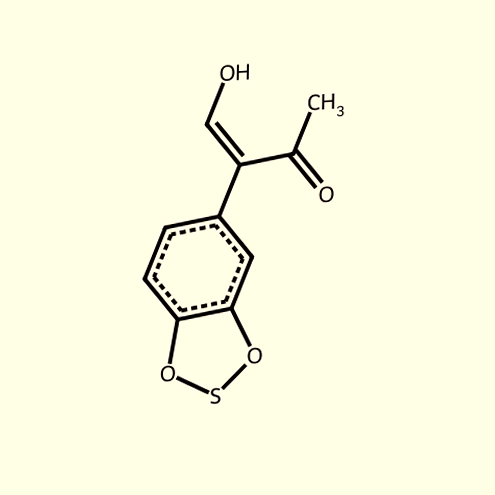 CC(=O)/C(=C\O)c1ccc2c(c1)OSO2